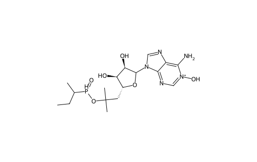 CCC(C)[PH](=O)OC(C)(C)C[C@H]1OC(n2cnc3c(N)[n+](O)cnc32)[C@H](O)[C@@H]1O